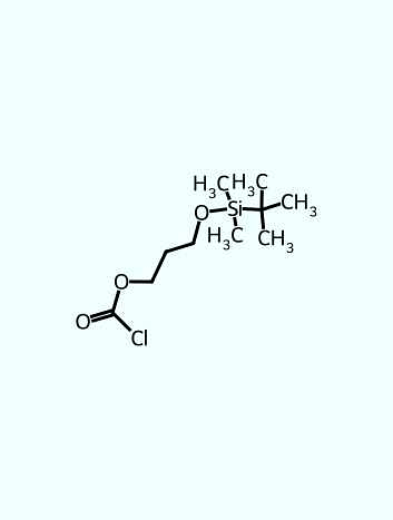 CC(C)(C)[Si](C)(C)OCCCOC(=O)Cl